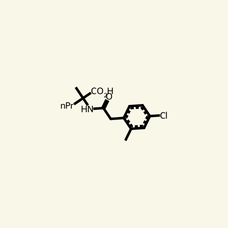 CCCC(C)(NC(=O)Cc1ccc(Cl)cc1C)C(=O)O